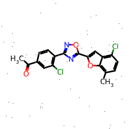 CC(=O)c1ccc(-c2noc(-c3cc4c(Cl)ccc(C)c4o3)n2)c(Cl)c1